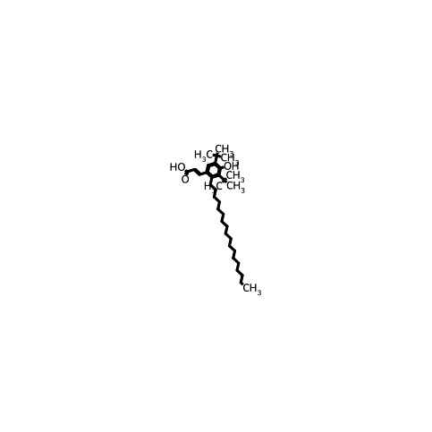 CCCCCCCCCCCCCCCCCCc1c(C=CC(=O)O)cc(C(C)(C)C)c(O)c1C(C)(C)C